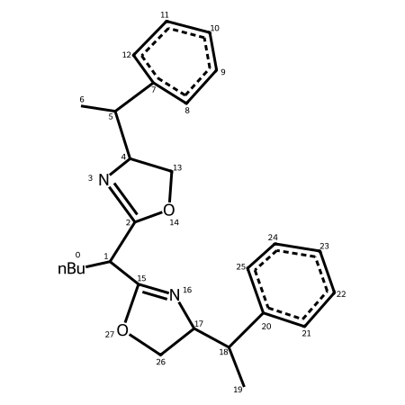 CCCCC(C1=NC(C(C)c2ccccc2)CO1)C1=NC(C(C)c2ccccc2)CO1